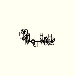 COC(=O)N[C@H](C(=O)N1C[C@@H](C)C[C@H]1c1ncc(C#Cc2ccc(-c3cnc([C@@H]4C[C@H](C)CN4C(=O)[C@@H](NC(=O)OC)C(C)C)[nH]3)cc2Cl)[nH]1)C(C)C